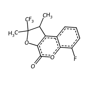 CC1c2c(c(=O)oc3c(F)cccc23)OC1(C)C(F)(F)F